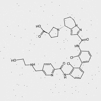 O=C(Nc1cccc(-c2cccc(NC(=O)c3cc4n(n3)CCC[C@H]4N3CC[C@@H](C(=O)O)C3)c2Cl)c1Cl)c1ccc(CNCCO)cn1